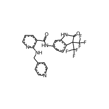 O=C(Nc1ccc2c(c1)NC(=O)C2(C(F)(F)F)C(F)(F)F)c1cccnc1NCc1ccncc1